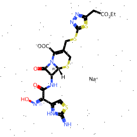 CCOC(=O)Cc1nnc(SCC2=C(C(=O)[O-])N3C(=O)C(NC(=O)/C(=N\O)c4csc(=N)[nH]4)[C@H]3SC2)s1.[Na+]